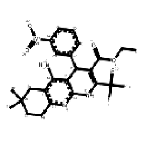 CCOC(=O)C1=C(C(F)(F)F)Nc2nc3c(c(N)c2C1c1cccc([N+](=O)[O-])c1)CC(C)(C)CC3